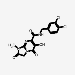 CN1C(=O)Cn2c1nc(C(=O)NCc1ccc(Cl)c(Cl)c1)c(O)c2=O